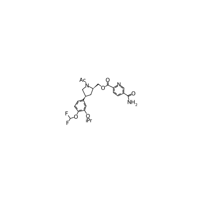 CC(=O)N1C[C@H](c2ccc(OC(F)F)c(OC(C)C)c2)C[C@@H]1COC(=O)c1ccc(C(N)=O)cn1